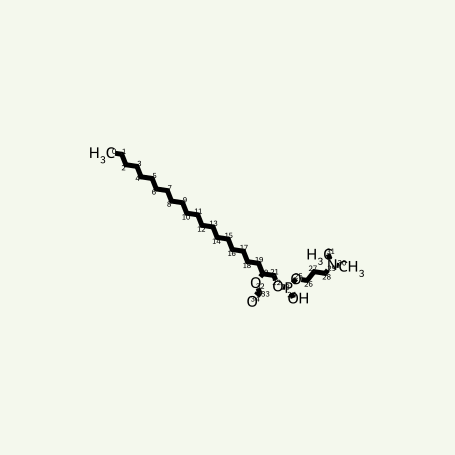 CCCCCCCCCCCCCCCCCCCCC(COP(O)OCCCN(C)C)OC=O